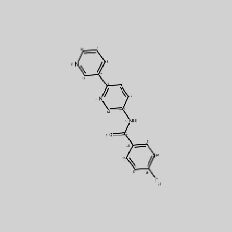 O=C(Nc1ccc(-c2cccnc2)nc1)c1ccc(F)cc1